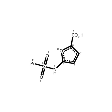 CC(C)S(=O)(=O)Nc1ccc(C(=O)O)o1